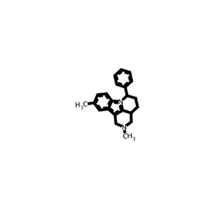 Cc1ccc2c(c1)c1c3n2C(c2ccccc2)CCC3CN(C)C1